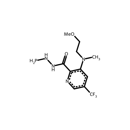 COCCN(C)c1cc(C(F)(F)F)cnc1C(=O)NNP